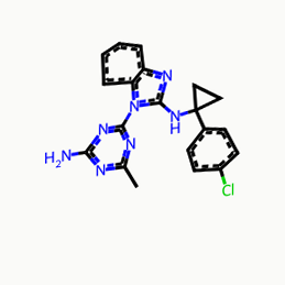 Cc1nc(N)nc(-n2c(NC3(c4ccc(Cl)cc4)CC3)nc3ccccc32)n1